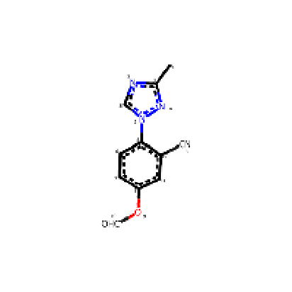 Cc1ncn(-c2ccc(OC=O)cc2C#N)n1